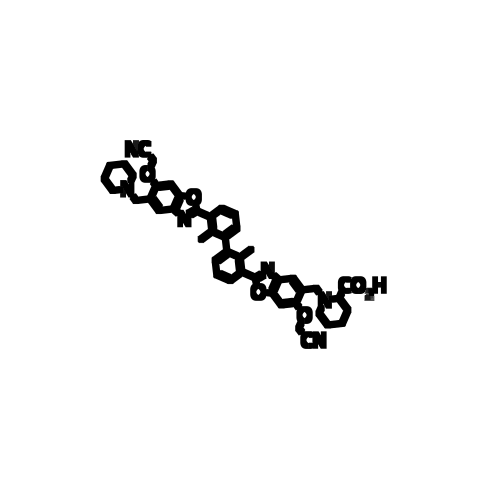 Cc1c(-c2nc3cc(CN4CCCCC4)c(OCC#N)cc3o2)cccc1-c1cccc(-c2nc3cc(CN4CCCCC4C(=O)O)c(OCC#N)cc3o2)c1C